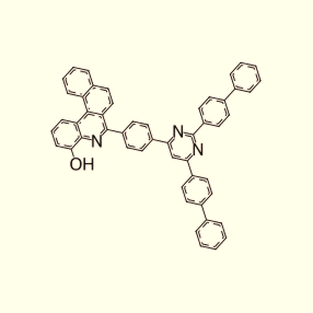 Oc1cccc2c1nc(-c1ccc(-c3cc(-c4ccc(-c5ccccc5)cc4)nc(-c4ccc(-c5ccccc5)cc4)n3)cc1)c1ccc3ccccc3c12